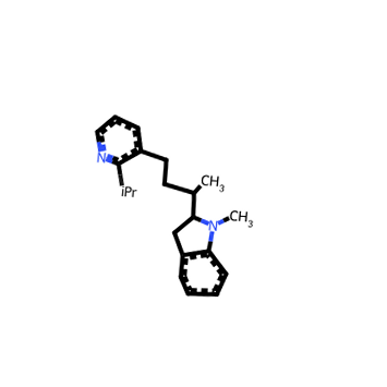 CC(C)c1ncccc1CCC(C)C1Cc2ccccc2N1C